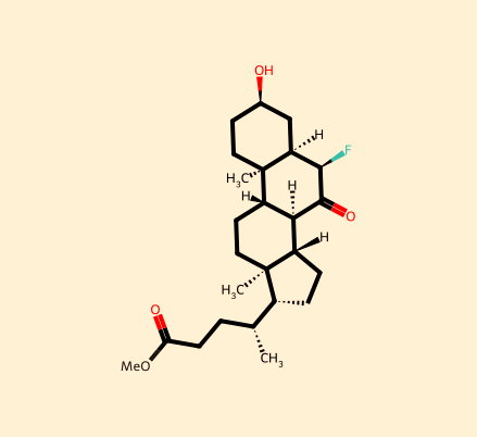 COC(=O)CC[C@@H](C)[C@H]1CC[C@H]2[C@@H]3C(=O)[C@H](F)[C@@H]4C[C@H](O)CC[C@]4(C)[C@H]3CC[C@]12C